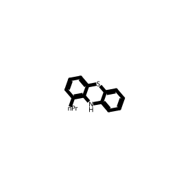 CCCc1cccc2c1Nc1ccccc1S2